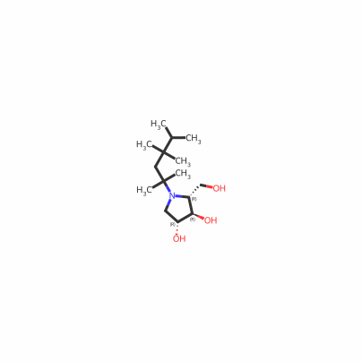 CC(C)C(C)(C)CC(C)(C)N1C[C@@H](O)[C@H](O)[C@H]1CO